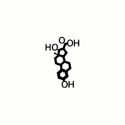 C[C@]12CCC3c4ccc(O)cc4CCC3C1CC(C(=O)O)[C@@H]2O